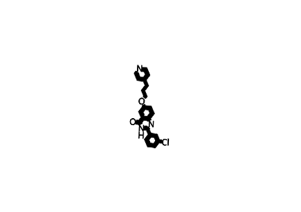 O=c1[nH]c(-c2cccc(Cl)c2)nc2ccc(OCCCc3ccncc3)cc12